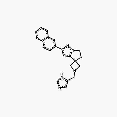 c1ccc2ncc(-c3cc4n(n3)CCC43CN(Cc4cnc[nH]4)C3)cc2c1